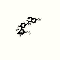 N#Cc1cnc2c(Nc3ccc(F)c([C@@]4(CF)C=C(N)C[C@@H]5C[C@@H]54)c3)nccc2c1